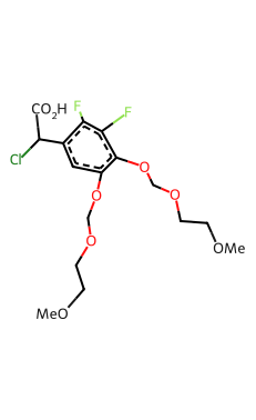 COCCOCOc1cc(C(Cl)C(=O)O)c(F)c(F)c1OCOCCOC